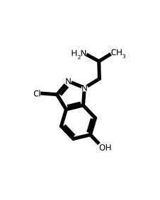 CC(N)Cn1nc(Cl)c2ccc(O)cc21